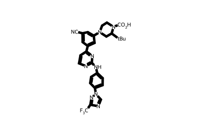 CC(C)(C)C1CN(c2cc(C#N)cc(-c3ccnc(Nc4ccc(-n5cnc(C(F)(F)F)n5)cc4)n3)c2)CCN1C(=O)O